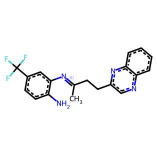 C/C(CCc1cnc2ccccc2n1)=N\c1cc(C(F)(F)F)ccc1N